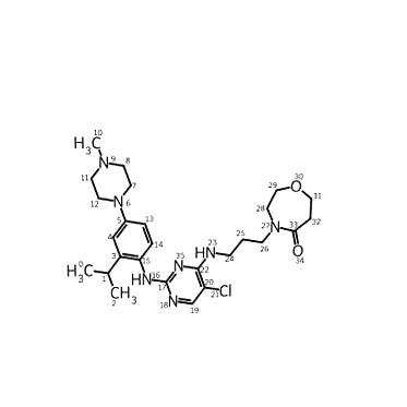 CC(C)c1cc(N2CCN(C)CC2)ccc1Nc1ncc(Cl)c(NCCCN2CCOCCC2=O)n1